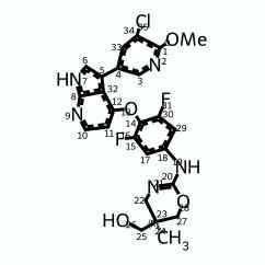 COc1ncc(-c2c[nH]c3nccc(Oc4c(F)cc(NC5=NC[C@](C)(CO)CO5)cc4F)c23)cc1Cl